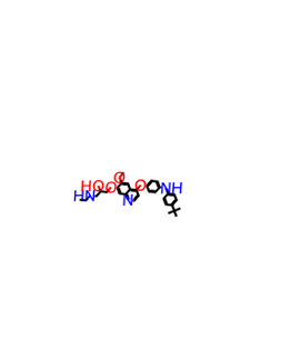 CCNCC(O)COc1cc2nccc(Oc3ccc(Nc4ccc(C(C)(C)C)cc4)cc3)c2cc1OC